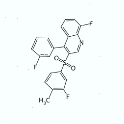 Cc1ccc(S(=O)(=O)c2cnc3c(F)cccc3c2-c2cccc(F)c2)cc1F